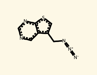 [N-]=[N+]=NCc1csc2ncncc12